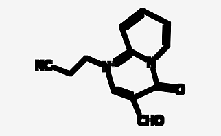 N#CCC[n+]1cc(C=O)c(=O)n2ccccc21